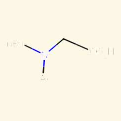 CCCCN(CC(=O)O)C(C)=O